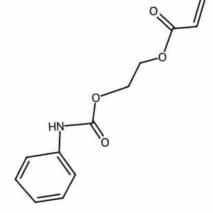 C=CC(=O)OCCOC(=O)Nc1ccccc1